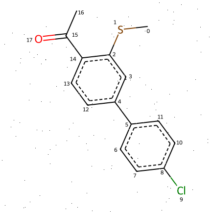 CSc1[c]c(-c2ccc(Cl)cc2)ccc1C(C)=O